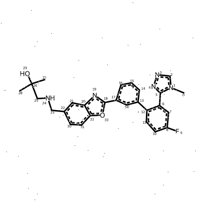 Cn1cnnc1-c1cc(F)ccc1-c1cccc(-c2nc3cc(CNCC(C)(C)O)ccc3o2)c1